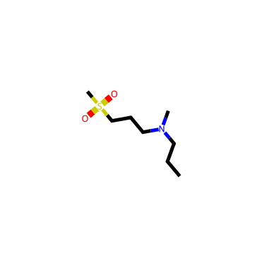 CCCN(C)CCCS(C)(=O)=O